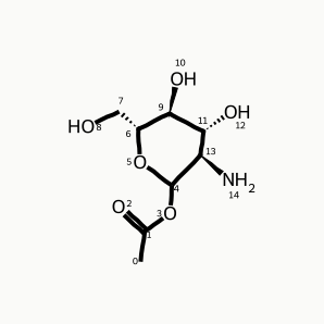 CC(=O)OC1O[C@H](CO)[C@@H](O)[C@H](O)[C@H]1N